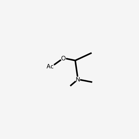 C[C](OC(C)=O)N(C)C